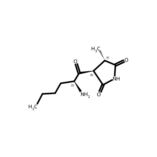 CCCC[C@H](N)C(=O)[C@@H]1C(=O)NC(=O)[C@H]1C